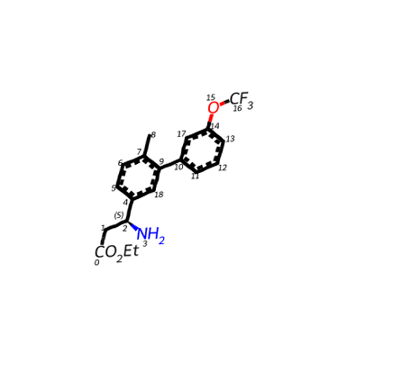 CCOC(=O)C[C@H](N)c1ccc(C)c(-c2cccc(OC(F)(F)F)c2)c1